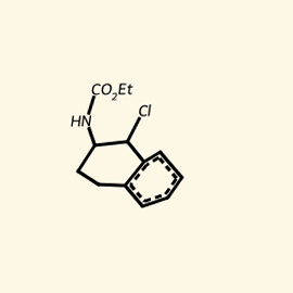 CCOC(=O)NC1CCc2ccccc2C1Cl